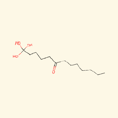 CCCCCCCC(=O)CCCCC(O)(O)O